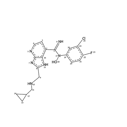 N=C(c1ccnc2nc(CNCC3CC3)[nH]c12)N(O)c1ccc(F)c(Cl)c1